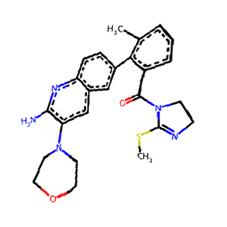 CSC1=NCCN1C(=O)c1cccc(C)c1-c1ccc2nc(N)c(N3CCOCC3)cc2c1